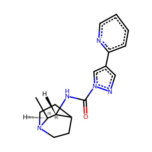 C[C@H]1[C@H](NC(=O)n2cc(-c3ccccn3)cn2)C2CCN1CC2